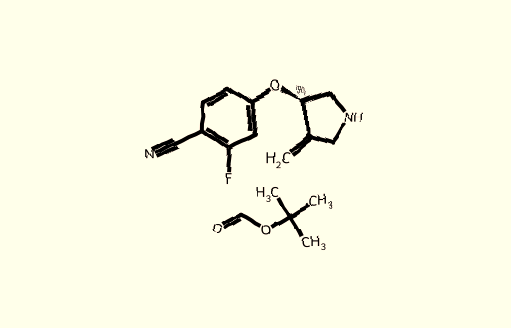 C=C1CNC[C@@H]1Oc1ccc(C#N)c(F)c1.CC(C)(C)OC=O